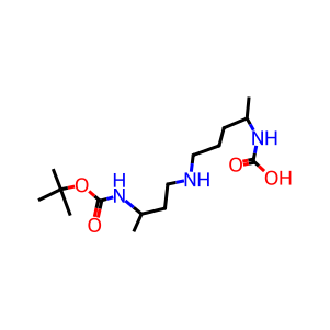 CC(CCCNCCC(C)NC(=O)OC(C)(C)C)NC(=O)O